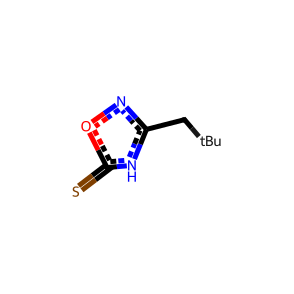 CC(C)(C)Cc1noc(=S)[nH]1